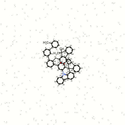 Cc1ccccc1-c1cccc(-c2cccc(-c3ccc4c(c3)-n3c5ccccc5c5cccc(c53)C43c4ccccc4-c4ccccc43)c2Cc2cccc3c2C(C)(C)c2ccccc2-3)c1